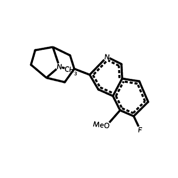 COc1c(F)ccc2cnc(C3CC4CCC(C3)N4C)cc12